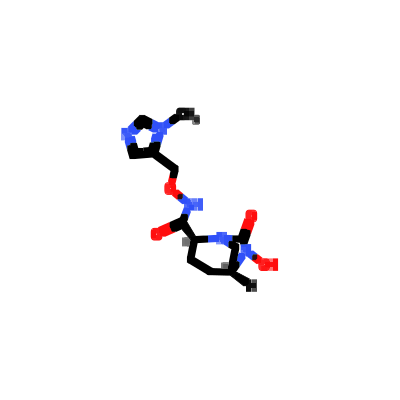 Cn1cncc1CONC(=O)[C@@H]1CC[C@@H]2CN1C(=O)N2O